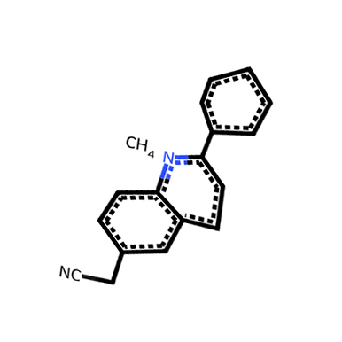 C.N#CCc1ccc2nc(-c3ccccc3)ccc2c1